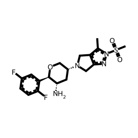 Cc1c2c(nn1S(C)(=O)=O)CN([C@H]1CO[C@H](c3cc(F)ccc3F)[C@@H](N)C1)C2